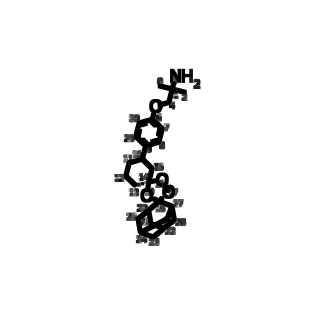 CC(C)(N)COc1ccc(C2CCC[C@]3(C2)OOC2(O3)C3CC4CC(C3)CC2C4)cc1